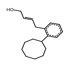 OCC=CCc1ccccc1C1CCCCCCC1